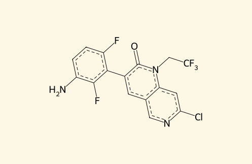 Nc1ccc(F)c(-c2cc3cnc(Cl)cc3n(CC(F)(F)F)c2=O)c1F